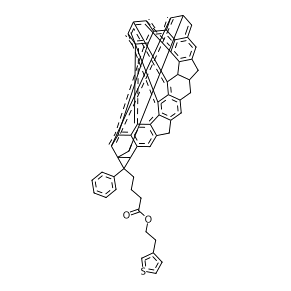 O=C(CCCC1(c2ccccc2)C2c3cc4c5c6c(cc7c8c9c%10c%11c%12c%13c(cc%14c%12c%12c%15c(c%16c3c5c(c%10c86)c%16c%12%11)C21CC%15C=%14)CC(C7)C%139)C4)OCCc1ccsc1